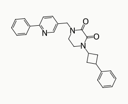 O=C1C(=O)N(C2CC(c3ccccc3)C2)CCN1Cc1ccc(-c2ccccc2)nc1